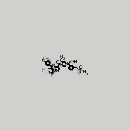 COc1ccc(-c2nc3c(C(=O)N4CCN([C@@H](CO)c5cccc(CNC(C)=O)c5)C[C@H]4C)cnn3c(C(F)(F)F)c2C)cc1